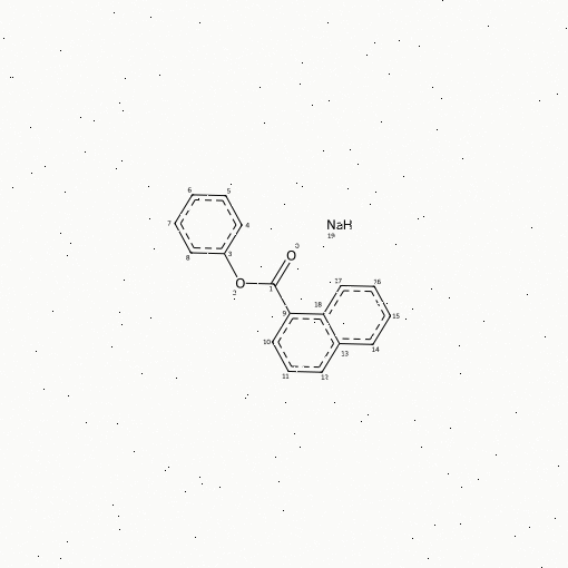 O=C(Oc1ccccc1)c1cccc2ccccc12.[NaH]